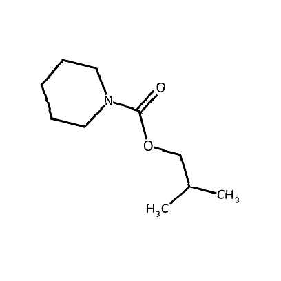 CC(C)COC(=O)N1CCCCC1